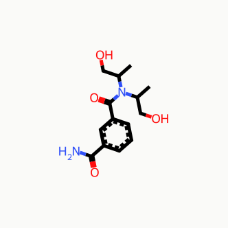 CC(CO)N(C(=O)c1cccc(C(N)=O)c1)C(C)CO